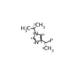 CC(C)n1cnc([C@@H](C)I)c1